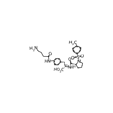 Cc1ccc(S(=O)(=O)N2CCC[C@H]2C(=O)N[C@@H](Cc2ccc(NC(=O)CCCN)cc2)C(=O)O)cc1